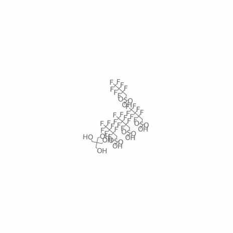 O=S(=O)(O)CC(F)(F)C(F)(F)C(F)(F)F.O=S(=O)(O)CC(F)(F)C(F)(F)C(F)(F)F.O=S(=O)(O)CC(F)(F)C(F)(F)C(F)(F)F.O=S(=O)(O)CC(F)(F)C(F)(F)C(F)(F)F.OCC(CO)(CO)CO